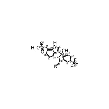 CC(CCC#N)(c1ccc(C(F)(F)F)cc1)c1c[nH]c2c(CS(C)(=O)=O)cccc12